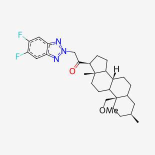 COC[C@]12CC[C@H](C)CC1CC[C@@H]1C2CC[C@@]2(C)C1CC[C@@H]2C(=O)Cn1nc2cc(F)c(F)cc2n1